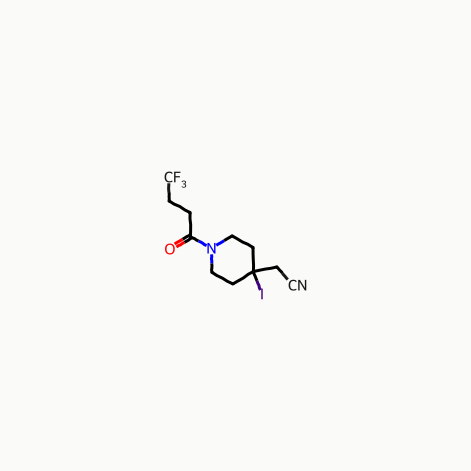 N#CCC1(I)CCN(C(=O)CCC(F)(F)F)CC1